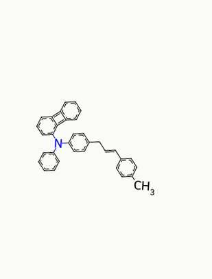 Cc1ccc(C=CCc2ccc(N(c3ccccc3)c3cccc4c3=c3ccccc3=4)cc2)cc1